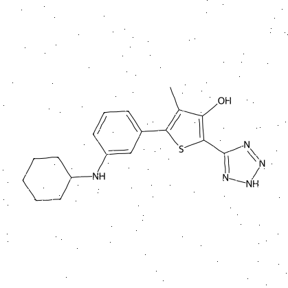 Cc1c(-c2cccc(NC3CCCCC3)c2)sc(-c2nn[nH]n2)c1O